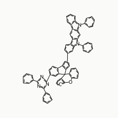 c1ccc(-c2nc(-c3ccccc3)nc(-c3ccc4c(c3)C3(c5ccccc5Oc5ccccc53)c3ccc(-c5ccc6c7cc8c9ccccc9n(-c9ccccc9)c8cc7n(-c7ccccc7)c6c5)cc3-4)n2)cc1